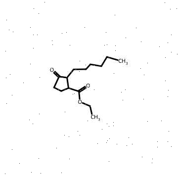 CCCCCCC1C(=O)CCC1C(=O)OCC